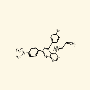 C=CCNc1ncnc2nc(-c3ccc(N(C)C)cc3)cc(-c3ccc(Br)cc3)c12